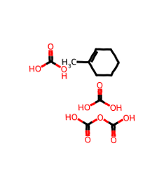 CC1=CCCCC1.O=C(O)O.O=C(O)O.O=C(O)OC(=O)O